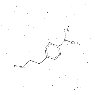 [CH2]CCCCCCCc1ccc(N(C)C)cc1